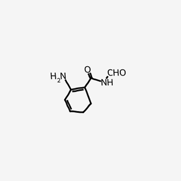 NC1=C(C(=O)NC=O)CCC=C1